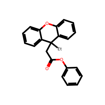 CCC1(CC(=O)Oc2ccccc2)c2ccccc2Oc2ccccc21